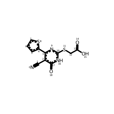 N#Cc1c(-c2cccs2)nc(SCC(=O)O)[nH]c1=O